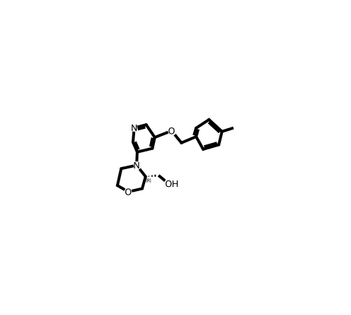 Cc1ccc(COc2cncc(N3CCOC[C@H]3CO)c2)cc1